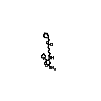 NC(=O)C[C@H](NCCCCCC(=O)OCc1ccccc1)C(=O)N1CCCC1